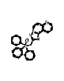 ClP(Cc1nc2c3cccnc3ccn2n1)(c1ccccc1)(c1ccccc1)c1ccccc1